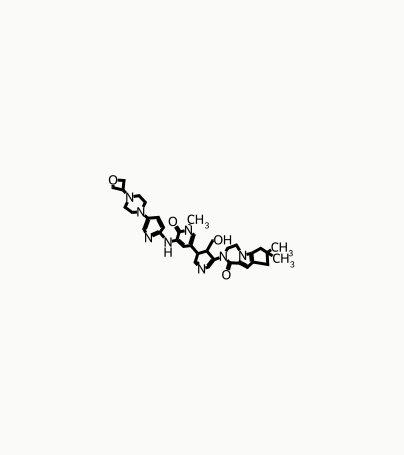 Cn1cc(C2C=NC=C(N3CCn4c(cc5c4CC(C)(C)C5)C3=O)C2CO)cc(Nc2ccc(N3CCN(C4COC4)CC3)cn2)c1=O